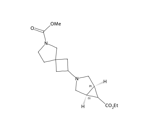 CCOC(=O)C1[C@H]2CN(C3CC4(CCN(C(=O)OC)C4)C3)C[C@@H]12